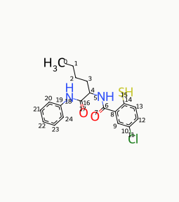 CCCCC(NC(=O)c1cc(Cl)ccc1S)C(=O)Nc1ccccc1